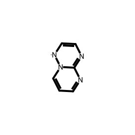 C1=CN2[N]C=CN=C2N=C1